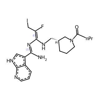 CCCC(=O)N1CCC[C@H](CNC(/N=C(\N)c2c[nH]c3ncccc23)=C(\F)CI)C1